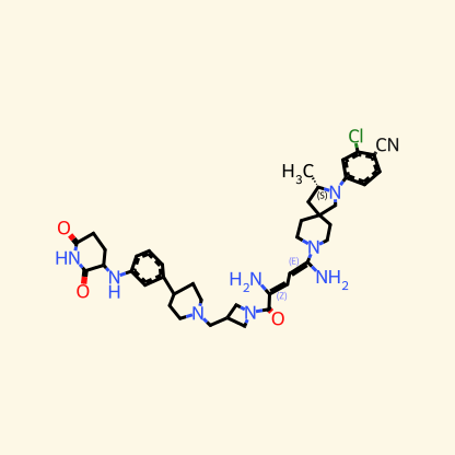 C[C@H]1CC2(CCN(/C(N)=C/C=C(\N)C(=O)N3CC(CN4CCC(c5cccc(NC6CCC(=O)NC6=O)c5)CC4)C3)CC2)CN1c1ccc(C#N)c(Cl)c1